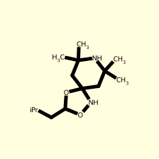 CC(C)CC1ONC2(CC(C)(C)NC(C)(C)C2)O1